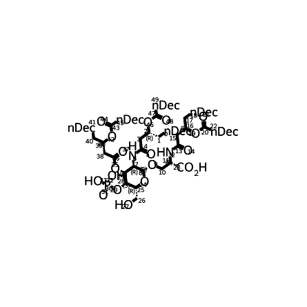 CCCCCCCCCCC[C@H](CC(=O)N[C@H]1[C@H](OC[C@H](NC(=O)C[C@@H](CCCCCCCCCCC)OC(=O)CCCCCCCCCC)C(=O)O)O[C@H](CO)[C@@H](OP(=O)(O)O)[C@@H]1OC(=O)C[C@@H](CCCCCCCCCCC)OC(=O)CCCCCCCCCC)OC(=O)CCCCCCCCCC